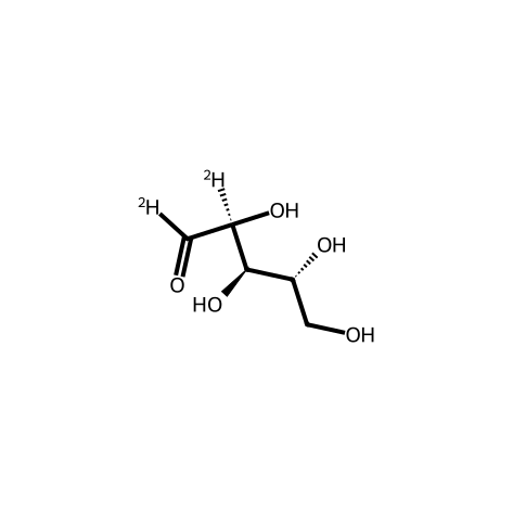 [2H]C(=O)[C@@]([2H])(O)[C@H](O)[C@H](O)CO